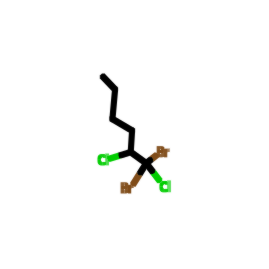 CCCCC(Cl)C(Cl)(Br)Br